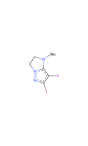 CC(C)(C)N1CCn2nc(I)c(I)c21